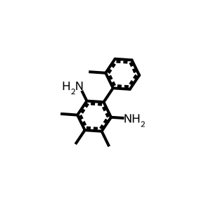 Cc1ccccc1-c1c(N)c(C)c(C)c(C)c1N